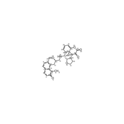 Cn1c(=O)ccc2ccc(F)c(C[C@@H](O)CNCN3C=CC=C4OC(=O)C(=O)N(N5CCOC5)[C@@H]43)c21